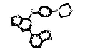 c1cc(-c2cn3ccnc3c(Nc3ccc(N4CCOCC4)cc3)n2)c2cn[nH]c2c1